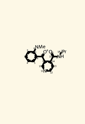 CNc1ccccc1C(=O)c1cnccc1C(=O)NC(C)C